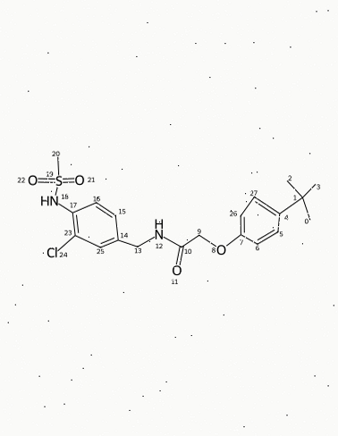 CC(C)(C)c1ccc(OCC(=O)NCc2ccc(NS(C)(=O)=O)c(Cl)c2)cc1